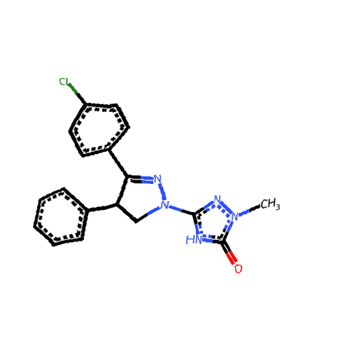 Cn1nc(N2CC(c3ccccc3)C(c3ccc(Cl)cc3)=N2)[nH]c1=O